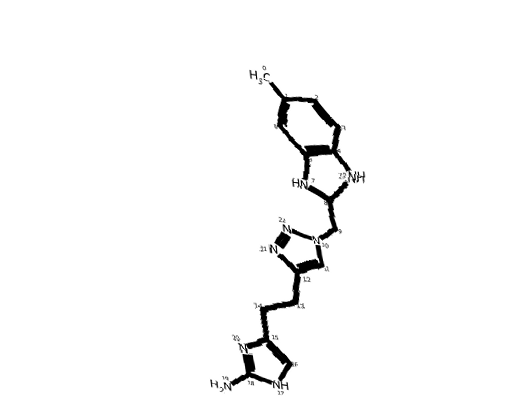 Cc1ccc2c(c1)NC(Cn1cc(CCc3c[nH]c(N)n3)nn1)N2